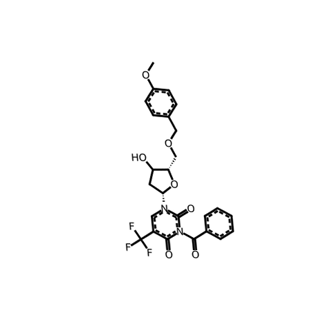 COc1ccc(COC[C@@H]2O[C@H](n3cc(C(F)(F)F)c(=O)n(C(=O)c4ccccc4)c3=O)CC2O)cc1